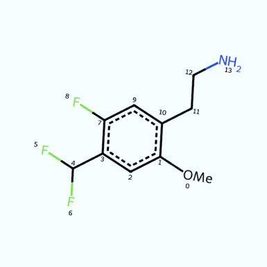 COc1cc(C(F)F)c(F)cc1CCN